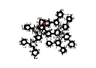 c1ccc(-c2cc(-c3ccccc3)cc(N3c4cc(-c5ccccc5)ccc4B4c5ccc(-c6ccccc6)cc5N(c5cc(-c6ccccc6)cc(-c6ccccc6)c5)c5cc(-c6ccc7c(c6)c6ccccc6n7-c6ccc(-c7nc(-c8ccccc8)cc(-c8ccccc8)n7)cc6-c6nc(-c7ccccc7)nc(-c7ccccc7)n6)cc3c54)c2)cc1